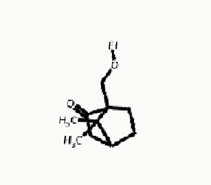 CCOCC12CCC(CC1=O)C2(C)C